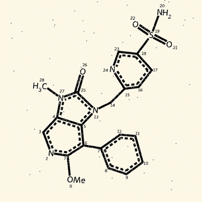 COc1ncc2c(c1-c1ccccc1)n(Cc1ccc(S(N)(=O)=O)cn1)c(=O)n2C